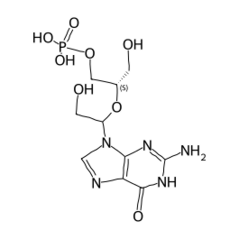 Nc1nc2c(ncn2C(CO)O[C@@H](CO)COP(=O)(O)O)c(=O)[nH]1